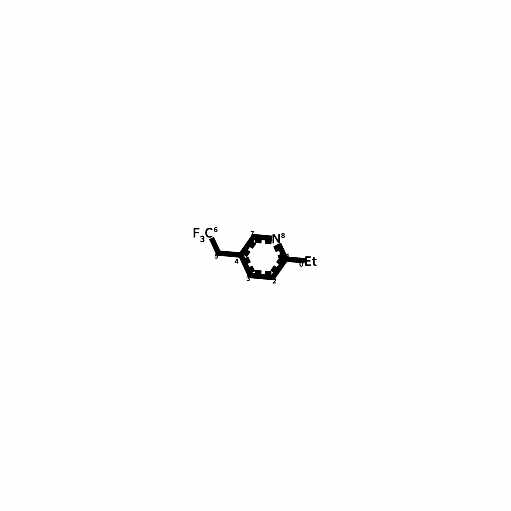 CCc1ccc(CC(F)(F)F)cn1